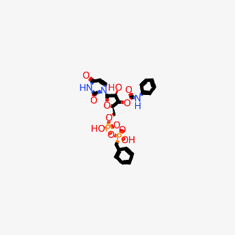 O=C(Nc1ccccc1)OC1[C@@H](COP(=O)(O)OP(=O)(O)Cc2ccccc2)O[C@@H](n2ccc(=O)[nH]c2=O)[C@H]1O